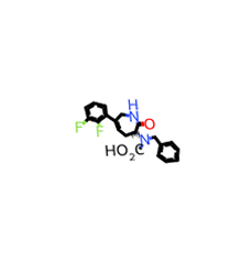 O=C1NCC(c2cccc(F)c2F)=CC[C@H]1N(Cc1ccccc1)C(=O)O